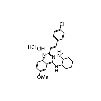 COc1ccc2nc(/C=C/c3ccc(Cl)cc3)nc(NC3CCCCC3N)c2c1.Cl.Cl